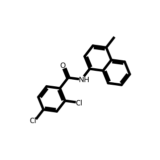 Cc1ccc(NC(=O)c2ccc(Cl)cc2Cl)c2ccccc12